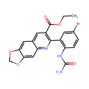 CCOC(=O)c1cc2cc3c(cc2nc1-c1cc(Br)ccc1NC(N)=O)OCO3